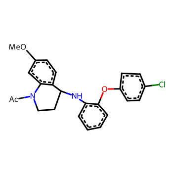 COc1ccc2c(c1)N(C(C)=O)CCC2Nc1ccccc1Oc1ccc(Cl)cc1